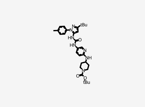 Cc1ccc(-n2nc(C(C)(C)C)cc2NC(=O)Nc2ccc(NC3CCN(C(=O)OC(C)(C)C)CC3)nc2)cc1